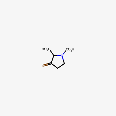 O=C(O)C1C(=S)CCN1C(=O)O